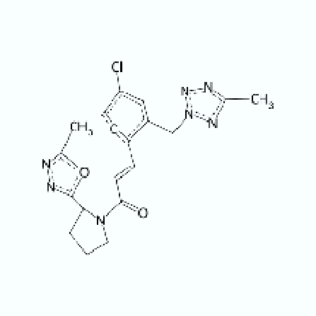 Cc1nnn(Cc2cc(Cl)ccc2C=CC(=O)N2CCCC2c2nnc(C)o2)n1